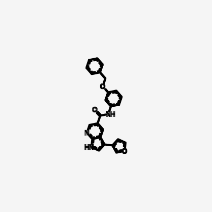 O=C(Nc1cccc(OCc2ccccc2)c1)c1cnc2[nH]cc(-c3ccoc3)c2c1